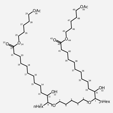 CCCCCCC(OCCCCCOC(CCCCCC)C(O)CCCCCCCCCC(=O)OCCCCCOC(C)=O)C(O)CCCCCCCCCC(=O)OCCCCCOC(C)=O